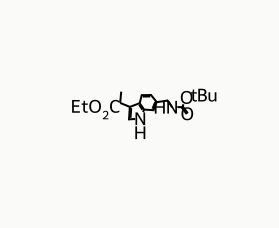 CCOC(=O)C(C)c1c[nH]c2cc(CNC(=O)OC(C)(C)C)ccc12